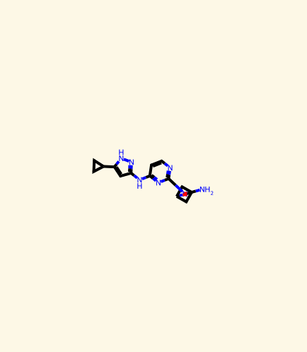 NC12CC(C1)N(c1nccc(Nc3cc(C4CC4)[nH]n3)n1)C2